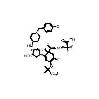 CNC(=O)C1(NC(C)=O)CC(Cl)=C(OC(C)(C)C(=O)O)C=C1N1C[C@@H](O)[C@H](NC2CCN(Cc3ccc(Cl)cc3)CC2)C1.O=C(O)C(F)(F)F